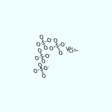 O=S(=O)([O-])[O-].O=S(=O)([O-])[O-].O=S(=O)([O-])[O-].O=S(=O)([O-])[O-].[Cr+3].[V+5]